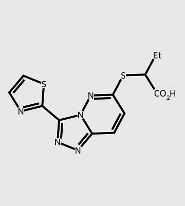 CCC(Sc1ccc2nnc(-c3nccs3)n2n1)C(=O)O